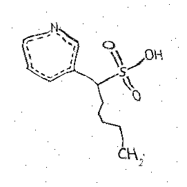 [CH2]CCC(c1cccnc1)S(=O)(=O)O